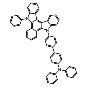 c1ccc(N(c2ccccc2)c2ccc(-c3ccc(-n4c5ccccc5c5c6c7ccccc7n(-c7ccccc7)c6c6ccccc6c54)cc3)cc2)cc1